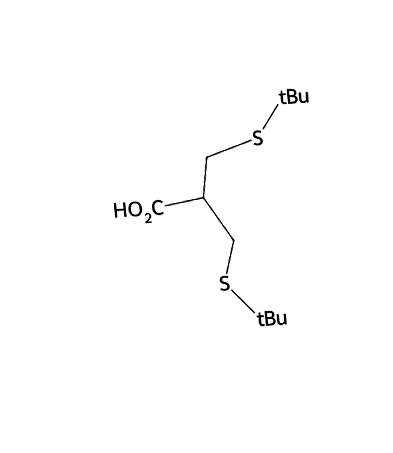 CC(C)(C)SCC(CSC(C)(C)C)C(=O)O